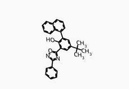 CC(C)(C)c1cc(-c2nc(-c3ccccc3)no2)c(O)c(-c2cccc3ccccc23)c1